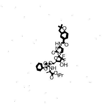 CC(C)OC(=O)[C@@H](C)NP(=O)(OC[C@H]1OC(n2ccc(NC(=O)c3ccc4c(c3)CC(C)(C)O4)nc2=O)C(F)(F)[C@@H]1O)Oc1ccccc1